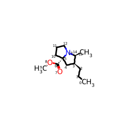 CCC[C@H]1C[C@@]2(C(=O)OC)CCCN2[C@H]1C